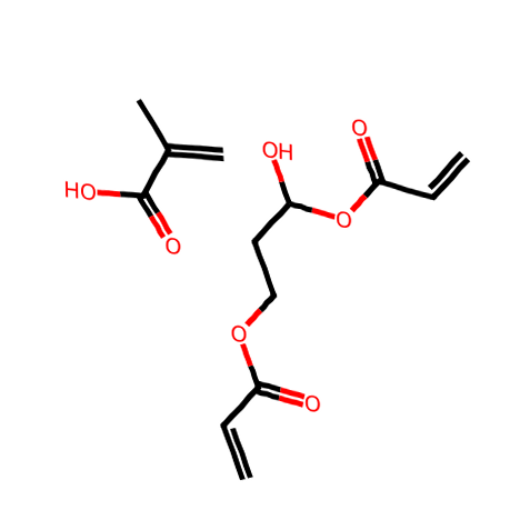 C=C(C)C(=O)O.C=CC(=O)OCCC(O)OC(=O)C=C